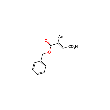 CC(=O)C(=CC(=O)O)C(=O)OCc1ccccc1